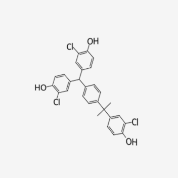 CC(C)(c1ccc(C(c2ccc(O)c(Cl)c2)c2ccc(O)c(Cl)c2)cc1)c1ccc(O)c(Cl)c1